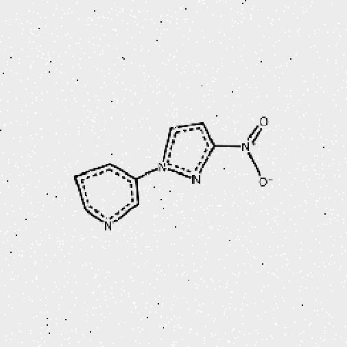 O=[N+]([O-])c1ccn(-c2cccnc2)n1